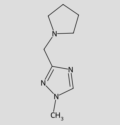 Cn1cnc(CN2CCCC2)n1